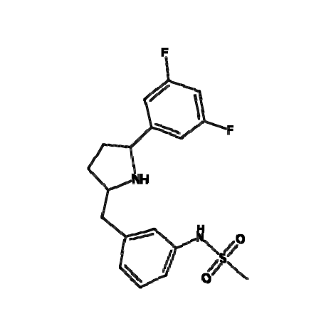 CS(=O)(=O)Nc1cccc(CC2CCC(c3cc(F)cc(F)c3)N2)c1